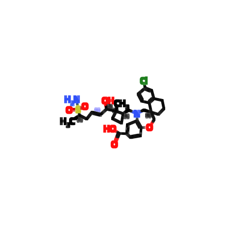 C[C@H](C/C=C/[C@@H](O)[C@@]1(C)CC[C@@H]1CN1C[C@@]2(CCCc3cc(Cl)ccc32)COc2ccc(C(=O)O)cc21)S(N)(=O)=O